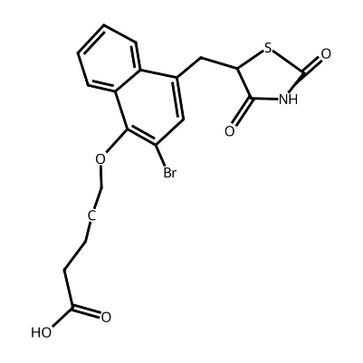 O=C(O)CCCCOc1c(Br)cc(CC2SC(=O)NC2=O)c2ccccc12